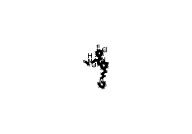 CC(C)NC(=O)Cc1cc2cc(CCCCN3CCCCC3)ccc2nc1-c1ccc(F)c(Cl)c1